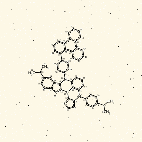 CC(C)c1ccc(N2c3ccsc3B3c4sc5ccc(C(C)C)cc5c4N(c4ccc(-c5cccc6c7ccccc7c7ccccc7c56)cc4)c4cccc2c43)cc1